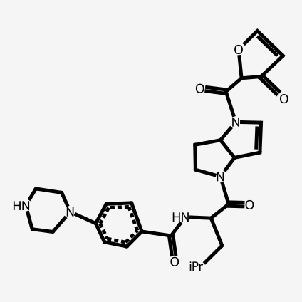 CC(C)CC(NC(=O)c1ccc(N2CCNCC2)cc1)C(=O)N1CCC2C1C=CN2C(=O)C1OC=CC1=O